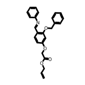 C=CCOC(=O)COc1ccc(/C=N/c2ccccc2)c(OCc2ccccc2)c1